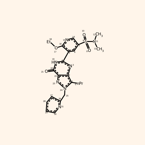 CCCc1c2nc(-c3cc(S(=O)(=O)N(C)C)cnc3OCC)[nH]c(=O)c2nn1Cc1ccccn1